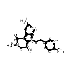 Cc1ccc2c(c1)c1c(n2CCc2ccc(C)nc2)C(O)CN(C)C1=O